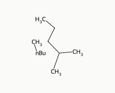 CCCC(C)C.CCCCC